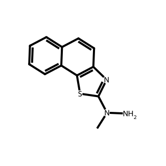 CN(N)c1nc2ccc3ccccc3c2s1